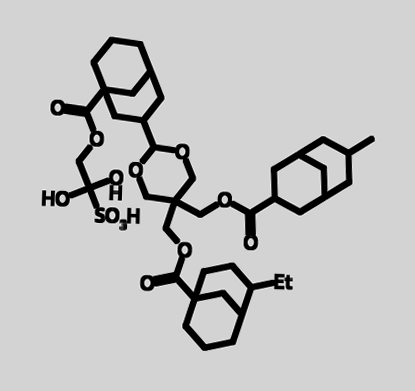 CCC1CCC2(C(=O)OCC3(COC(=O)C4CC5CC(C)CC(C5)C4)COC(C4CC5CCCC(C(=O)OCC(O)(O)S(=O)(=O)O)(C5)C4)OC3)CCCC1C2